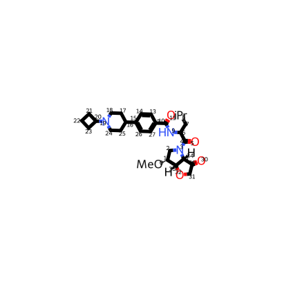 CO[C@@H]1CN(C(=O)C(CC(C)C)NC(=O)c2ccc(C3CCN(C4CCC4)CC3)cc2)[C@@H]2C(=O)CO[C@@H]21